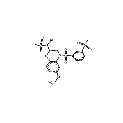 CS(=O)(=O)c1cccc(S(=O)(=O)N2CC(C(N)S(C)(=O)=O)Oc3ccc(NC(=O)O)cc32)c1